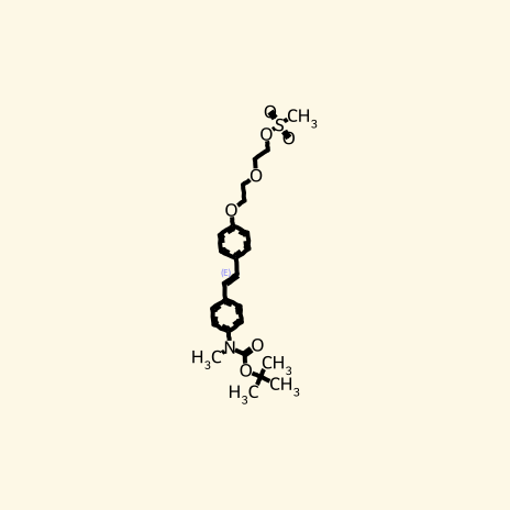 CN(C(=O)OC(C)(C)C)c1ccc(/C=C/c2ccc(OCCOCCOS(C)(=O)=O)cc2)cc1